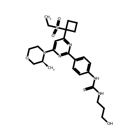 CCS(=O)(=O)C1(c2cc(N3CCOC[C@@H]3C)nc(-c3ccc(NC(=S)NCCCO)cc3)n2)CCC1